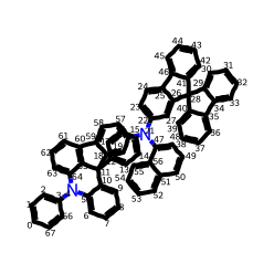 c1ccc(N2c3ccccc3C3(c4ccccc4)c4cc(N(c5ccc6c(c5)C5(c7ccccc7-c7ccccc75)c5ccccc5-6)c5cccc6ccccc56)ccc4-c4cccc2c43)cc1